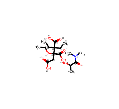 CC(O)C(=O)N(C)C.CCOC(CC(=O)O)(C(=O)O)C(CC)(CC)C(=O)O